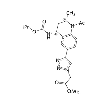 COC(=O)Cn1cc(-c2ccc3c(c2)[C@H](NC(=O)OC(C)C)C[C@H](C)N3C(C)=O)nn1